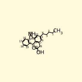 CCCCCc1cc(CC(=O)O)c(Cc2ccccc2)c(ON)c1